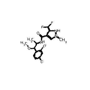 COC(c1ccc(Cl)cc1Cl)C(C)NC(=O)C1=CN(C)NC1C(F)F